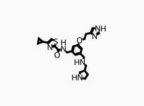 O=C(NCc1cc(CNCC2CCNC2)cc(OCCc2c[nH]cn2)c1)c1nc(C2CC2)cs1